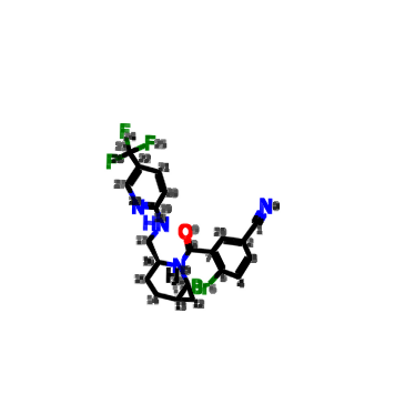 N#Cc1ccc(Br)c(C(=O)N2C3C[C@H]3CC[C@H]2CNc2ccc(C(F)(F)F)cn2)c1